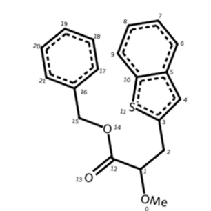 COC(Cc1cc2ccccc2s1)C(=O)OCc1ccccc1